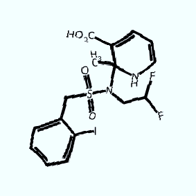 CC1(N(CC(F)F)S(=O)(=O)Cc2ccccc2I)NC=CC=C1C(=O)O